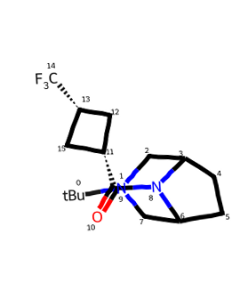 CC(C)(C)N1CC2CCC(C1)N2C(=O)[C@H]1C[C@@H](C(F)(F)F)C1